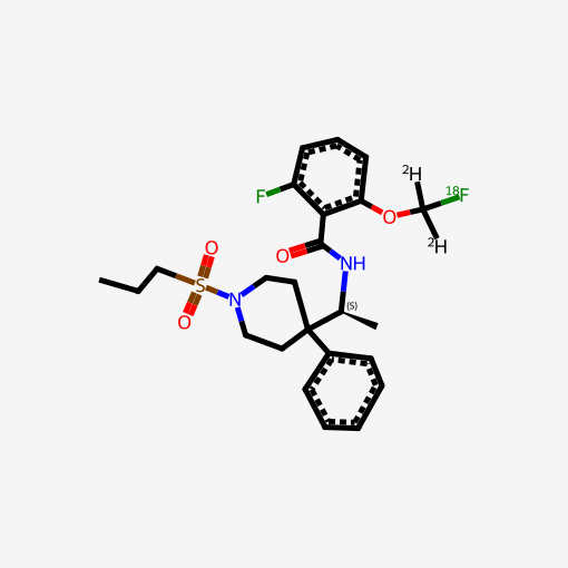 [2H]C([2H])([18F])Oc1cccc(F)c1C(=O)N[C@@H](C)C1(c2ccccc2)CCN(S(=O)(=O)CCC)CC1